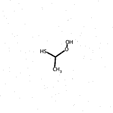 CC(S)OO